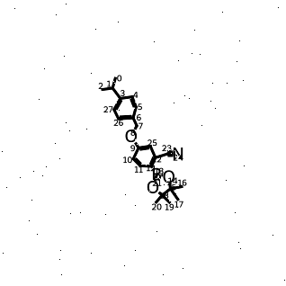 CC(C)c1ccc(COc2ccc(B3OC(C)(C)C(C)(C)O3)c(C#N)c2)cc1